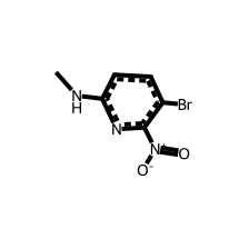 CNc1ccc(Br)c([N+](=O)[O-])n1